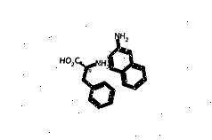 N[C@@H](Cc1ccccc1)C(=O)O.Nc1ccc2ccccc2c1